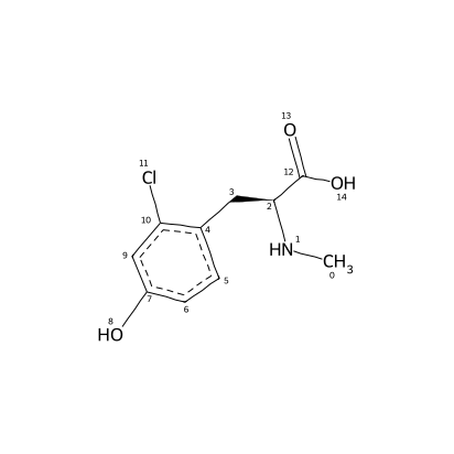 CN[C@@H](Cc1ccc(O)cc1Cl)C(=O)O